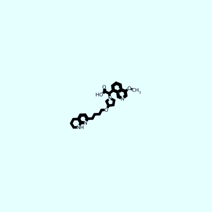 COc1cncc2c(C(C(=O)O)N3CCC(OCCCCc4ccc5c(n4)NCCC5)C3)cccc12